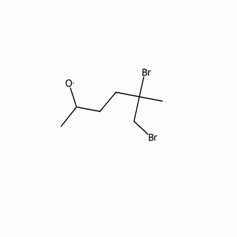 CC([O])CCC(C)(Br)CBr